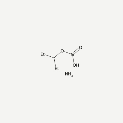 CCC(CC)O[Si](=O)O.N